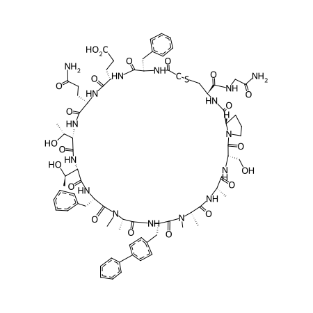 C[C@@H]1NC(=O)[C@H](C)N(C)C(=O)[C@H](Cc2ccc(-c3ccccc3)cc2)NC(=O)[C@H](C)N(C)C(=O)[C@H](Cc2ccccc2)NC(=O)[C@H]([C@@H](C)O)NC(=O)[C@H]([C@@H](C)O)NC(=O)[C@H](CCC(N)=O)NC(=O)[C@H](CCC(=O)O)NC(=O)[C@H](Cc2ccccc2)NC(=O)CSC[C@@H](C(=O)NCC(N)=O)NC(=O)[C@@H]2CCCN2C(=O)[C@H](CO)NC1=O